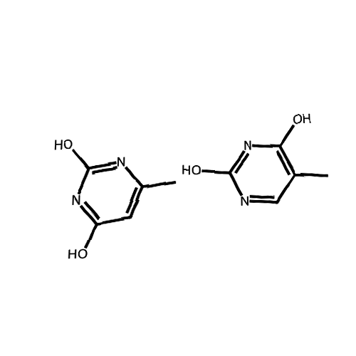 Cc1cc(O)nc(O)n1.Cc1cnc(O)nc1O